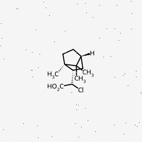 CC1(C)[C@@H]2CC[C@]1(C)[C@@H](C(Cl)C(=O)O)C2